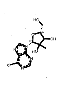 CC1(O)C(O)[C@@H](CO)O[C@H]1n1cnc2c(Cl)ncnc21